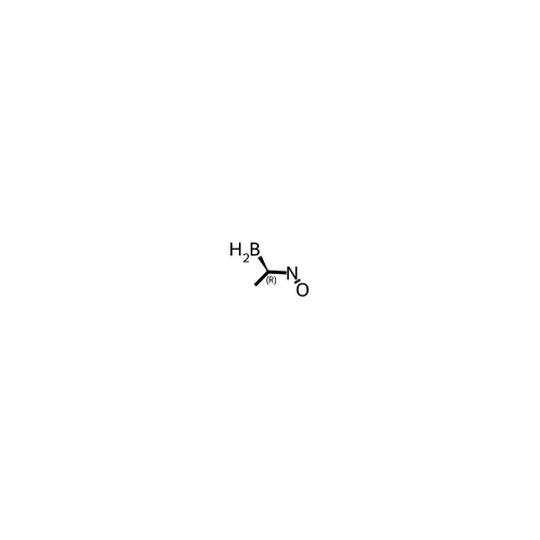 B[C@H](C)N=O